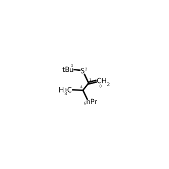 C=C(SC(C)(C)C)C(C)CCC